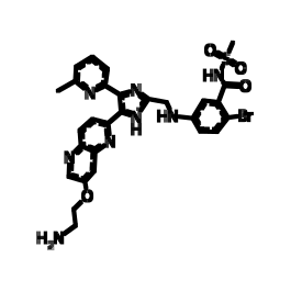 Cc1cccc(-c2nc(CNc3ccc(Br)c(C(=O)NS(C)(=O)=O)c3)[nH]c2-c2ccc3ncc(OCCN)cc3n2)n1